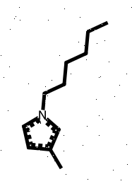 CCCCCCn1ccc(C)c1